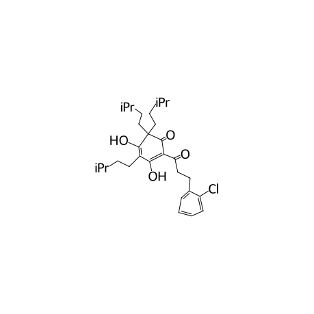 CC(C)CCC1=C(O)C(CCC(C)C)(CCC(C)C)C(=O)C(C(=O)CCc2ccccc2Cl)=C1O